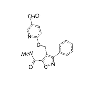 CNC(=O)c1onc(-c2ccccc2)c1COc1ccc([C]=O)cn1